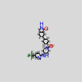 O=C1NCc2ccc(-c3ccc([S+]([O-])N4CCC(Nc5ccc(C(F)(F)F)cn5)CC4)cc3)cc21